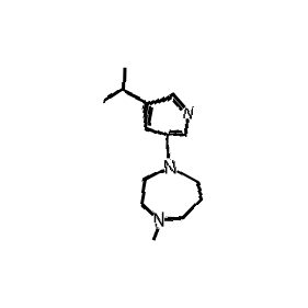 CC(C)c1cncc(N2CCCN(C)CC2)c1